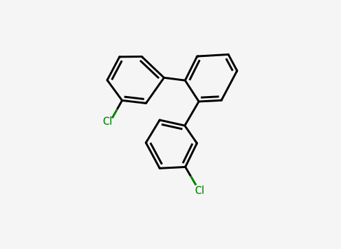 Clc1cccc(-c2ccccc2-c2cccc(Cl)c2)c1